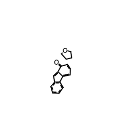 C1CCOC1.O=C1C=CC=C2C1=Cc1ccccc12